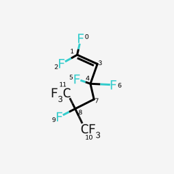 FC(F)=CC(F)(F)CC(F)(C(F)(F)F)C(F)(F)F